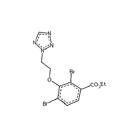 CCOC(=O)c1ccc(Br)c(OCCn2ncnn2)c1Br